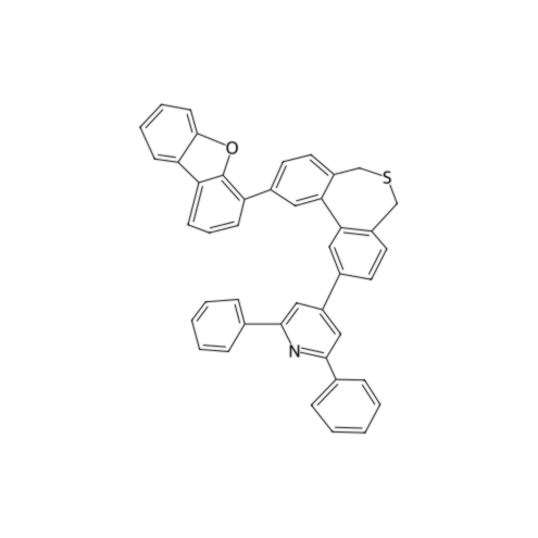 c1ccc(-c2cc(-c3ccc4c(c3)-c3cc(-c5cccc6c5oc5ccccc56)ccc3CSC4)cc(-c3ccccc3)n2)cc1